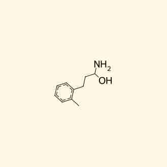 Cc1ccccc1CCC(N)O